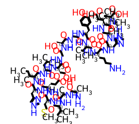 CC[C@H](C)[C@H](NC(=O)[C@H](C)NC(=O)[C@H](C)N)C(=O)N[C@@H](CCSC)C(=O)N[C@@H](CCC(=O)O)C(=O)N[C@@H](Cc1c[nH]cn1)C(=O)N[C@H](C(=O)N[C@@H](CC(C)C)C(=O)N[C@@H](CC(=O)O)C(=O)NCC(=O)N[C@@H](CO)C(=O)NCC(=O)N[C@@H](Cc1ccc(O)cc1)C(=O)N[C@H](C(=O)N[C@@H](CCCCN)C(=O)N[C@@H](Cc1c[nH]cn1)C(=O)N[C@@H](C)C(=O)N[C@@H](CCC(=O)O)C(=O)N(C)[C@H](C(=O)O)C(C)(C)C)C(C)C)[C@@H](C)CC